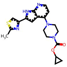 Cc1nc(-c2cc3c(N4CCN(C(=O)OC5CC5)CC4)ccnc3[nH]2)cs1